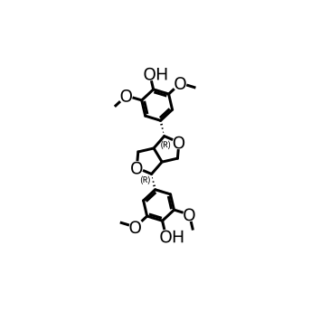 COc1cc([C@@H]2OCC3C2CO[C@H]3c2cc(OC)c(O)c(OC)c2)cc(OC)c1O